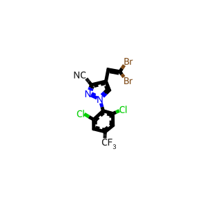 N#Cc1nn(-c2c(Cl)cc(C(F)(F)F)cc2Cl)cc1C=C(Br)Br